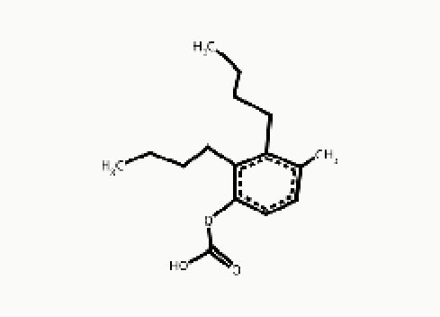 CCCCc1c(C)ccc(OC(=O)O)c1CCCC